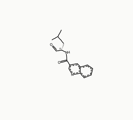 CC(C)C[C@@H]([C]=O)NC(=O)c1cnc2ccccc2c1